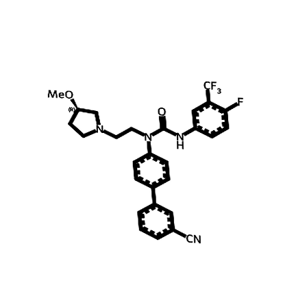 CO[C@@H]1CCN(CCN(C(=O)Nc2ccc(F)c(C(F)(F)F)c2)c2ccc(-c3cccc(C#N)c3)cc2)C1